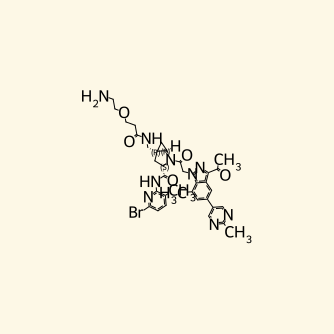 CC(=O)c1nn(CC(=O)N2[C@H](C(=O)Nc3nc(Br)ccc3C)C[C@@]3(CNC(=O)CCOCCN)C[C@@H]23)c2c(C)cc(-c3cnc(C)nc3)cc12